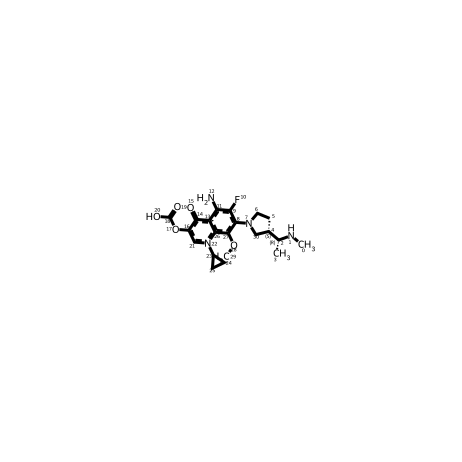 CN[C@H](C)[C@H]1CCN(c2c(F)c(N)c3c(=O)c(OC(=O)O)cn(C4CC4)c3c2OC)C1